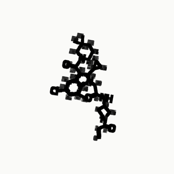 C=CC(=O)N1CC(NC(=O)Cn2c(C3CC3)c(C(=O)N3CCCC(C)(C)C3)c3cc(Cl)cc(C)c32)C1